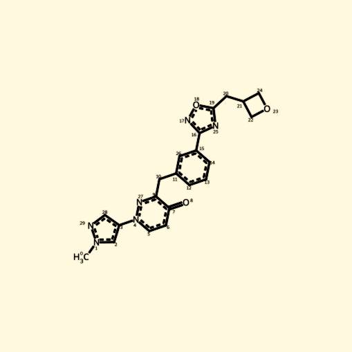 Cn1cc(-n2ccc(=O)c(Cc3cccc(-c4noc(CC5COC5)n4)c3)n2)cn1